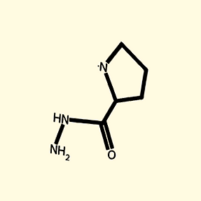 NNC(=O)C1CCC[N]1